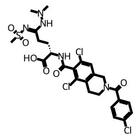 CN(C)N/C(CC[C@H](NC(=O)c1c(Cl)cc2c(c1Cl)CCN(C(=O)c1ccc(Cl)cc1)C2)C(=O)O)=N/S(C)(=O)=O